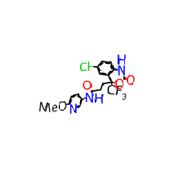 COc1ccc(NC(=O)CCC2(C(F)(F)F)OC(=O)Nc3ccc(Cl)cc32)cn1